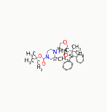 C[C@H]1CN(C(=O)OC(C)(C)C)CCN1[C@@H]1COC[C@@H]1O[Si](c1ccccc1)(c1ccccc1)C(C)(C)C